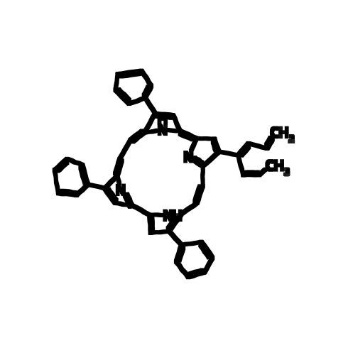 C=C/C=C(\C=C/C)C1=Cc2nc1ccc1[nH]c(cc1-c1ccccc1)c1nc(ccc3[nH]c2cc3-c2ccccc2)C(c2ccccc2)=C1